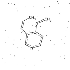 C=Nc1ccncc1/C=C\C